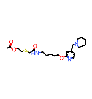 CC(=O)OCCSCC(=O)NCCCCCOc1cc(CN2CCCCC2)ccn1